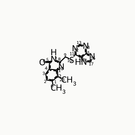 Cc1ccc2c(=O)[nH]c(CSc3ncnc4nc[nH]c34)nc2c1C